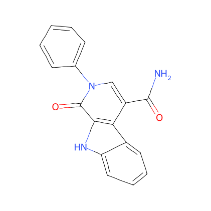 NC(=O)c1cn(-c2ccccc2)c(=O)c2[nH]c3ccccc3c12